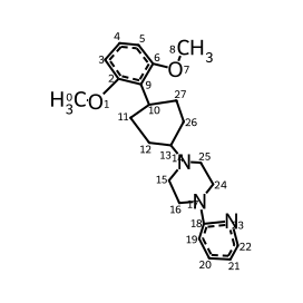 COc1cccc(OC)c1C1CCC(N2CCN(c3ccccn3)CC2)CC1